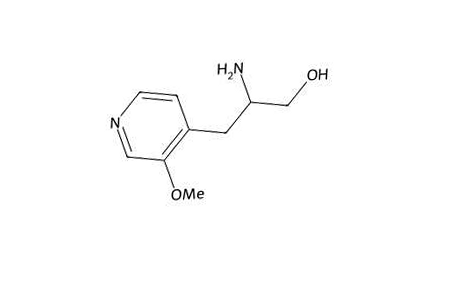 COc1cnccc1CC(N)CO